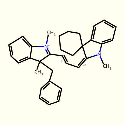 CN1/C(=C/C=C/C2=[N+](C)c3ccccc3C2(C)Cc2ccccc2)C2(CCCCC2)c2ccccc21